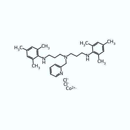 Cc1cc(C)c(NCCCN(CCCNc2c(C)cc(C)cc2C)Cc2ccccn2)c(C)c1.[Cl-].[Cl-].[Co+2]